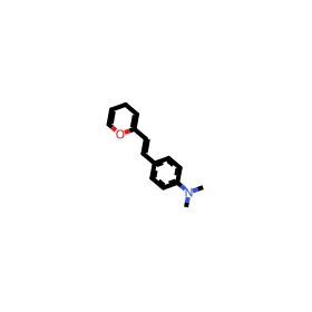 CN(C)c1ccc(C=CC2=CCC=CO2)cc1